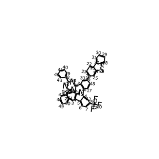 Cc1ccc2c3ccc(C(F)(F)F)cc3n(-c3ccc(-c4ccc5c(c4)sc4ccccc45)cc3-c3nc(-c4ccccc4)nc(-c4ccccc4)n3)c2c1